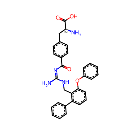 NC(=NC(=O)c1ccc(C[C@H](N)C(=O)O)cc1)NCc1c(Oc2ccccc2)cccc1-c1ccccc1